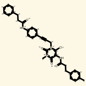 Cc1ccc(CCC(=O)Nc2c(Cl)n(CC#Cc3ccc(NC(=O)CCc4ccccc4)cc3)c(=O)n(C)c2=O)cc1